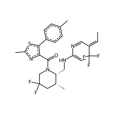 C\C=C(/N=C\C(=C/C)C(F)(F)F)NC[C@@H]1[C@H](C)CC(F)(F)CN1C(=O)c1nc(C)sc1-c1ccc(C)cc1